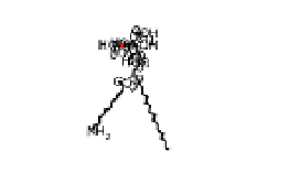 CCCCCCCCCCCCCCCC(=O)O[C@H](COC(=O)CCCCCCCCCCN)COP(=O)(O)OC1C(O)[C@@H](OP(=O)(O)O)C(O)[C@@H](OP(=O)(O)O)[C@H]1O